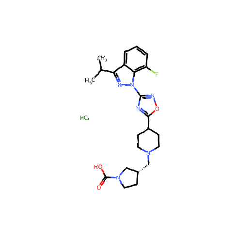 CC(C)c1nn(-c2noc(C3CCN(C[C@@H]4CCN(C(=O)O)C4)CC3)n2)c2c(F)cccc12.Cl